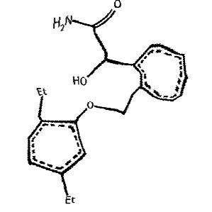 CCc1ccc(CC)c(OCc2ccccc2C(O)C(N)=O)c1